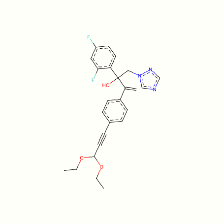 C=C(c1ccc(C#CC(OCC)OCC)cc1)C(O)(Cn1cncn1)c1ccc(F)cc1F